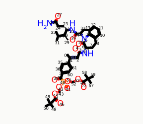 C/C(=C\C(=O)N[C@H]1CCc2cccc3c2N(C1=O)[C@H](C(=O)N[C@@H](CCC(N)=O)[C@@H](C)C(C)C)C3)c1ccc(C(=O)P(=O)(OCOC(=O)C(C)(C)C)OCOC(=O)C(C)(C)C)cc1